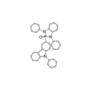 O=P1(c2ccc3c(c2)c2ccccc2n3-c2ccccc2)N(c2ccccc2)c2ccccc2N1c1ccccc1